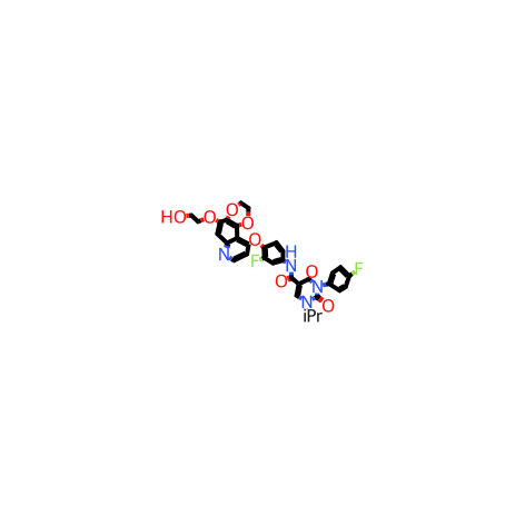 CC(C)n1cc(C(=O)Nc2ccc(Oc3ccnc4cc(OCCO)c5c(c34)OCCO5)c(F)c2)c(=O)n(-c2ccc(F)cc2)c1=O